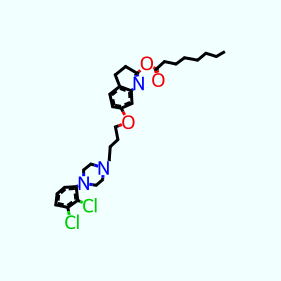 CCCCCCCC(=O)OC1=Nc2cc(OCCCCN3CCN(c4cccc(Cl)c4Cl)CC3)ccc2CC1